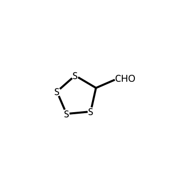 O=CC1SSSS1